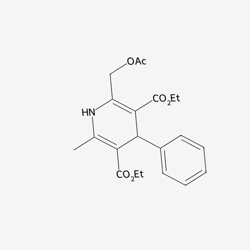 CCOC(=O)C1=C(C)NC(COC(C)=O)=C(C(=O)OCC)C1c1ccccc1